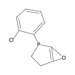 Clc1ccccc1P1CCC2=C1O2